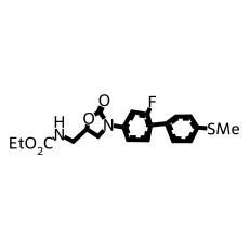 CCOC(=O)NCC1CN(c2ccc(-c3ccc(SC)cc3)c(F)c2)C(=O)O1